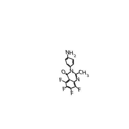 Cc1nc2c(F)c(F)c(F)c(F)c2c(=O)n1-c1ccc(N)cc1